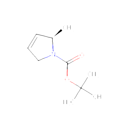 C[C@@H]1C=CCN1C(=O)OC(C)(C)C